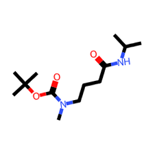 CC(C)NC(=O)CCCN(C)C(=O)OC(C)(C)C